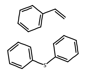 C=Cc1ccccc1.c1ccc(Sc2ccccc2)cc1